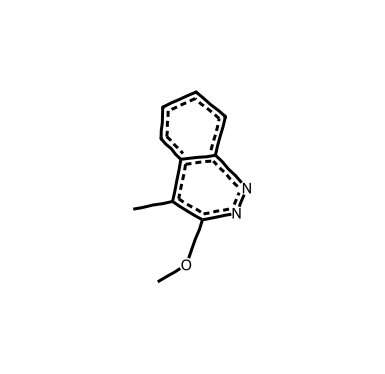 COc1nnc2ccccc2c1C